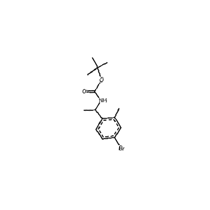 Cc1cc(Br)ccc1C(C)NC(=O)OC(C)(C)C